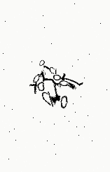 CC1(C)OC(C2OC(C)(C)O[C@H]2C(=O)Cl)[C@@H](C(=O)Cl)O1